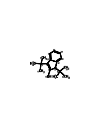 CC(C)(C)c1c(O)n(C(C)(C)C)c2ccccc12